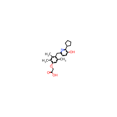 Cc1cc(OCC(=O)O)c(C)c(C)c1Cc1ccc(O)c(C2CCCC2)n1